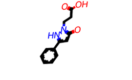 O=C(O)CCn1[nH]c(-c2ccccc2)cc1=O